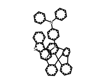 c1ccc(N(c2ccccc2)c2ccc(N(c3cccc4c3C3(c5ccccc5Oc5ccccc53)c3ccccc3-4)c3cccc4sc5ccccc5c34)cc2)cc1